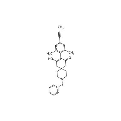 CC#Cc1cc(C)c(C2=C(O)CC3(CCN(Sc4ccccn4)CC3)CC2=O)c(C)c1